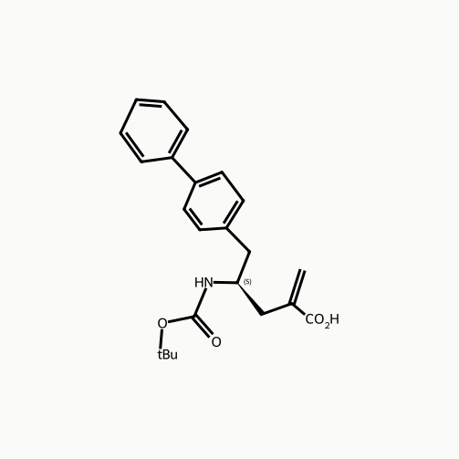 C=C(C[C@H](Cc1ccc(-c2ccccc2)cc1)NC(=O)OC(C)(C)C)C(=O)O